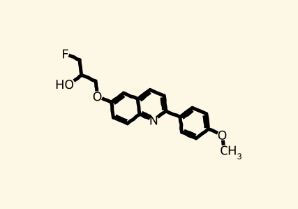 COc1ccc(-c2ccc3cc(OCC(O)CF)ccc3n2)cc1